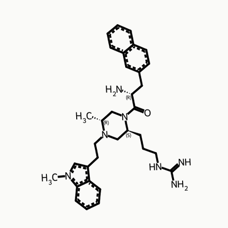 C[C@@H]1CN(C(=O)[C@H](N)Cc2ccc3ccccc3c2)[C@@H](CCCNC(=N)N)CN1CCc1cn(C)c2ccccc12